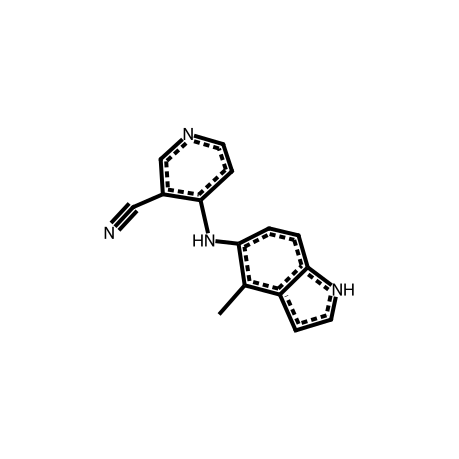 Cc1c(Nc2ccncc2C#N)ccc2[nH]ccc12